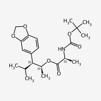 CC(C)[C@@H](c1ccc2c(c1)OCO2)[C@H](C)OC(=O)[C@H](C)NC(=O)OC(C)(C)C